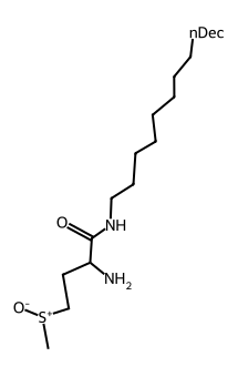 CCCCCCCCCCCCCCCCCCNC(=O)C(N)CC[S+](C)[O-]